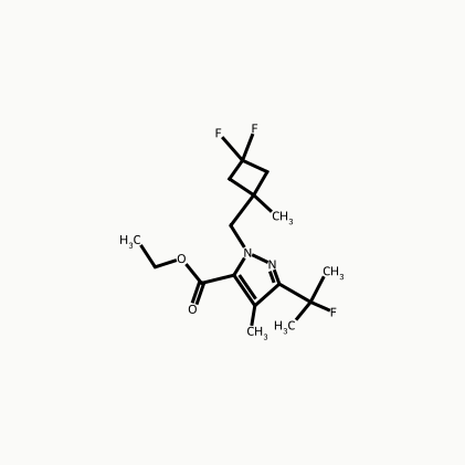 CCOC(=O)c1c(C)c(C(C)(C)F)nn1CC1(C)CC(F)(F)C1